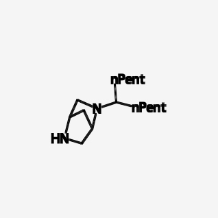 CCCCCC(CCCCC)N1CC2CC1CN2